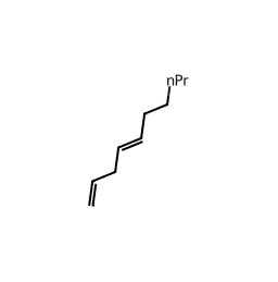 [CH]=CCC=CCCCCC